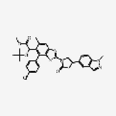 COC(=O)C(OC(C)(C)C)c1c(C)cc2nc(N3CC(c4ccc5c(cnn5C)c4)CC3=O)sc2c1-c1ccc(Cl)cc1